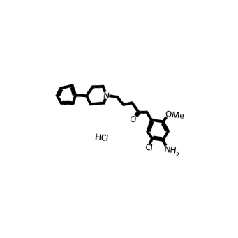 COc1cc(N)c(Cl)cc1CC(=O)CCCN1CCC(c2ccccc2)CC1.Cl